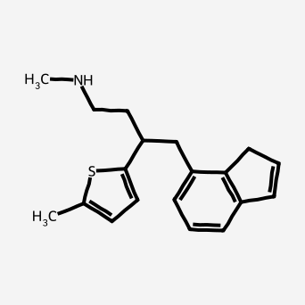 CNCCC(Cc1cccc2c1CC=C2)c1ccc(C)s1